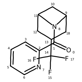 O=C(c1ccccn1)N1C2CC1CC(C(F)(F)F)C2